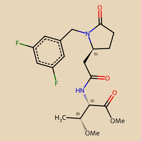 COC(=O)[C@@H](NC(=O)C[C@@H]1CCC(=O)N1Cc1cc(F)cc(F)c1)[C@@H](C)OC